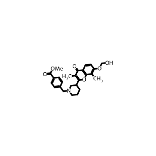 COC(=O)c1ccc(CN2CCCC(c3oc4c(C)c(OCO)ccc4c(=O)c3C)C2)cc1